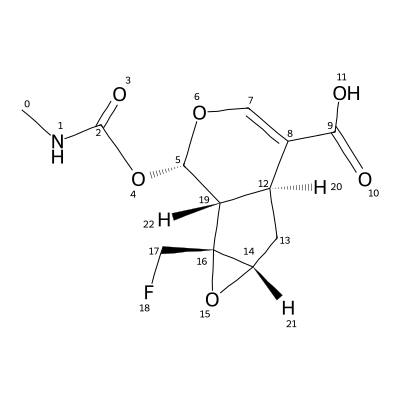 CNC(=O)O[C@@H]1OC=C(C(=O)O)[C@H]2C[C@@H]3O[C@]3(CF)[C@H]12